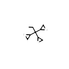 O=C(O)CC(C1CN1)(C1CN1)C1CN1